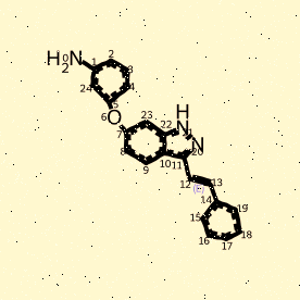 Nc1cccc(Oc2ccc3c(/C=C/c4ccccc4)n[nH]c3c2)c1